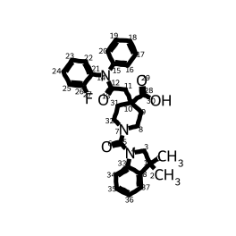 CC1(C)CN(C(=O)N2CCC(CC(=O)N(c3ccccc3)c3ccccc3F)(C(=O)O)CC2)c2ccccc21